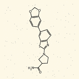 NC(=O)C1CCN(c2nc3ccc(-c4ccc5c(c4)OCO5)cc3s2)C1